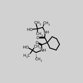 C[C@@H](NC(=O)C1(C(=O)N[C@H](C)C(C)(C)O)CCCCC1)C(C)(C)O